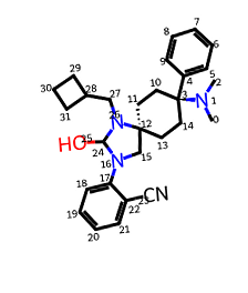 CN(C)[C@]1(c2ccccc2)CC[C@]2(CC1)CN(c1ccccc1C#N)C(O)N2CC1CCC1